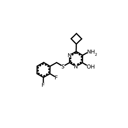 Nc1c(O)nc(SCc2cccc(F)c2F)nc1C1CCC1